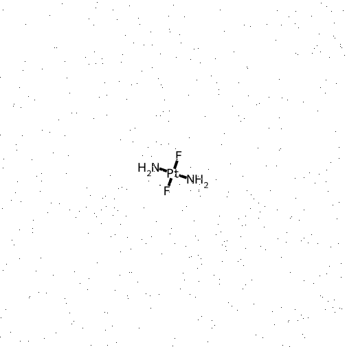 [NH2][Pt]([NH2])([F])[F]